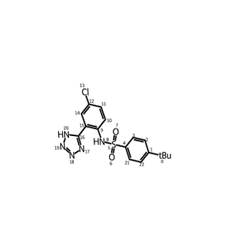 CC(C)(C)c1ccc(S(=O)(=O)Nc2ccc(Cl)cc2-c2nnn[nH]2)cc1